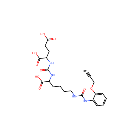 C#CCOc1ccccc1NC(=O)NCCCCC(NC(=O)NC(CCC(=O)O)C(=O)O)C(=O)O